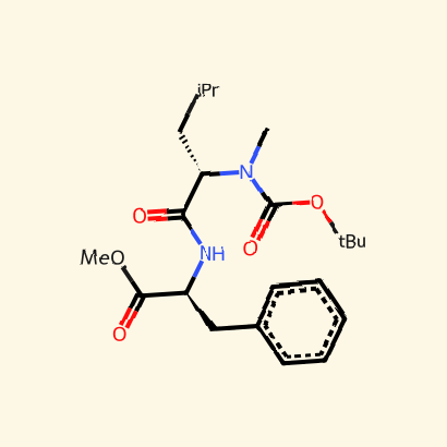 COC(=O)[C@H](Cc1ccccc1)NC(=O)[C@H](CC(C)C)N(C)C(=O)OC(C)(C)C